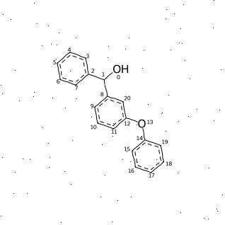 OC(c1ccccc1)c1cccc(Oc2ccccc2)c1